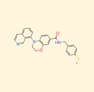 CSc1ccc(CNC(=O)c2ccc3c(c2)OCCN3c2cccc3ccncc23)cc1